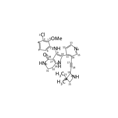 COc1c(Cl)cccc1Nc1c(-c2ccncc2C#CC2NCC2(C)C)[nH]c2c1C(=O)NCC2